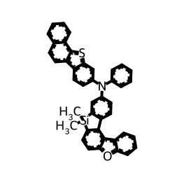 C[Si]1(C)c2cc(N(c3ccccc3)c3ccc4c(c3)sc3c5ccccc5ccc43)ccc2-c2c1ccc1oc3ccccc3c21